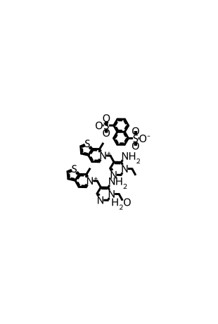 CCN1CN=CC(C[n+]2ccc3ccsc3c2C)=C1N.CCN1CN=CC(C[n+]2ccc3ccsc3c2C)=C1N.O.O=S(=O)([O-])c1cccc2c(S(=O)(=O)[O-])cccc12